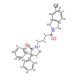 O=C(CCCN1CCC(c2ccccc2)(c2ccccc2)C1=O)N1Cc2ccc(C(F)(F)F)cc2C1